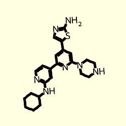 Nc1ncc(-c2cc(-c3ccnc(NC4CCCCC4)c3)nc(N3CCNCC3)c2)s1